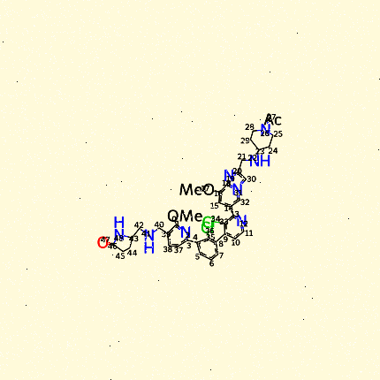 COc1nc(-c2cccc(-c3ccnc(-c4cc(OC)c5nc(CNC6CCN(C(C)=O)CC6)cn5c4)c3Cl)c2Cl)ccc1CNCC1CCC(=O)N1